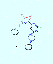 O=C(N[C@@H](CSCc1ccccc1)C(=O)O)c1cc(N2CCN(c3ccccc3)CC2)nc(Cl)n1